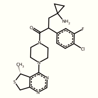 C[C@H]1SCc2ncnc(N3CCN(C(=O)C(CC4(N)CC4)c4ccc(Cl)c(F)c4)CC3)c21